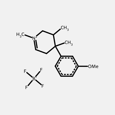 COc1cccc(C2(C)CC=[N+](C)CC2C)c1.F[B-](F)(F)F